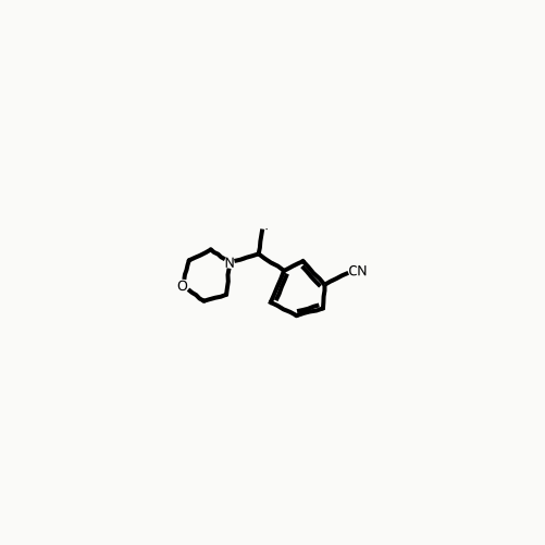 [CH2]C(c1cccc(C#N)c1)N1CCOCC1